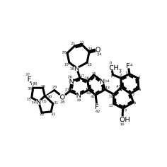 CCc1c(F)ccc2cc(O)cc(-c3ncc4c(N5CCC=CC(=O)C5)nc(OC[C@@]56CCCN5C[C@H](F)C6)nc4c3F)c12